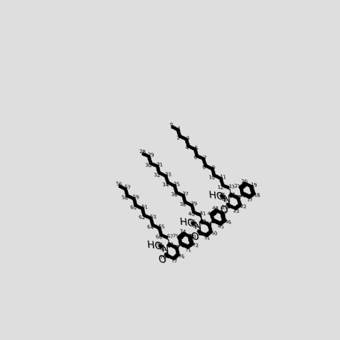 CCCCCCCCCCCCCC[C@@H]1[C@H](c2ccccc2)CCC(=O)N1O.CCCCCCCCCCCCCC[C@H]1[C@H](c2ccccc2)CCC(=O)N1O.CCCCCCCCCCCC[C@@H]1[C@H](c2ccccc2)CCC(=O)N1O